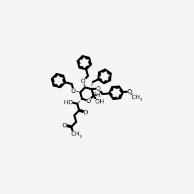 [2H][C@]1(O)O[C@H](C(O)C(=O)CCC(C)=O)[C@H](OCc2ccccc2)[C@H](OCc2ccccc2)[C@@]1(Cc1ccccc1)OCc1ccc(OC)cc1